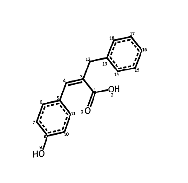 O=C(O)C(=Cc1ccc(O)cc1)Cc1ccccc1